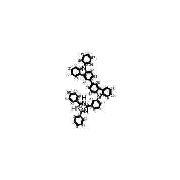 c1ccc(C2N=C(c3cccc(-n4c5ccccc5c5cc(-c6ccc7c(c6)c6ccccc6n7-c6ccccc6)ccc54)c3)NC(c3ccccc3)N2)cc1